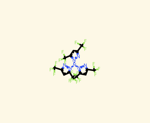 FC(F)(F)c1cc(C(F)(F)F)n(N(n2nc(C(F)(F)F)cc2C(F)(F)F)n2nc(C(F)(F)F)cc2C(F)(F)F)n1